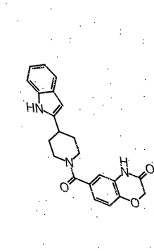 O=C1COc2ccc(C(=O)N3CCC(c4cc5ccccc5[nH]4)CC3)cc2N1